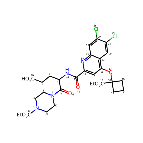 CCOC(=O)N1CCN(C(=O)C(CCC(=O)O)NC(=O)c2cc(OC3(C(=O)OCC)CCC3)c3cc(Cl)c(Cl)cc3n2)CC1